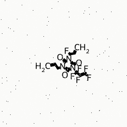 C=CCn1c(=O)n(C(F)C=C)c(=O)n(C(F)(F)C(F)=C(F)F)c1=O